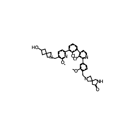 COc1cc(-c2nccc(-c3cccc(-c4ccc(CN5CC6(CC(O)C6)C5)c(OC)n4)c3Cl)c2Cl)ccc1CN1CC2(CNC(=O)C2)C1